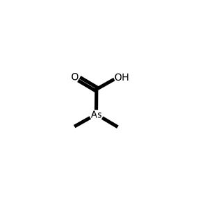 C[As](C)C(=O)O